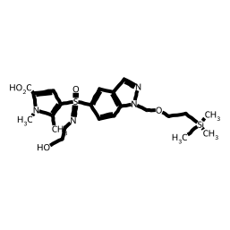 Cc1c(S(=O)(=NCCO)c2ccc3c(cnn3COCC[Si](C)(C)C)c2)cc(C(=O)O)n1C